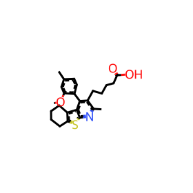 COc1cc(C)ccc1-c1c(CCCCC(=O)O)c(C)nc2sc3c(c12)CCCC3